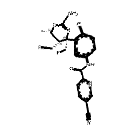 C[C@@H]1OC(N)=N[C@@](CF)(c2cc(NC(=O)c3ccc(C#N)cn3)ccc2F)[C@@H]1CF